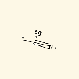 CC#N.[Ag]